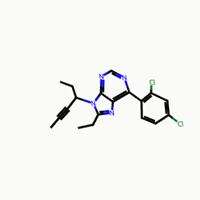 CC#CC(CC)n1c(CC)nc2c(-c3ccc(Cl)cc3Cl)ncnc21